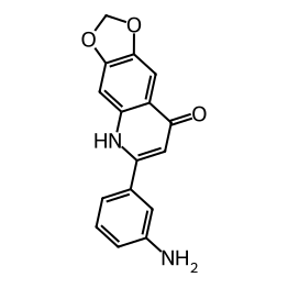 Nc1cccc(-c2cc(=O)c3cc4c(cc3[nH]2)OCO4)c1